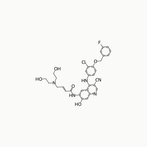 N#Cc1cnc2cc(O)c(NC(=O)/C=C/CN(CCO)CCO)cc2c1Nc1ccc(OCc2cccc(F)c2)c(Cl)c1